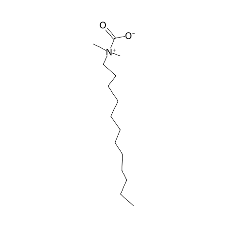 CCCCCCCCCCCC[N+](C)(C)C(=O)[O-]